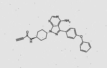 C#CC(=O)N[C@H]1CC[C@H](n2nc(-c3ccc(Oc4ccccc4)cc3)c3c(N)ncnc32)CC1